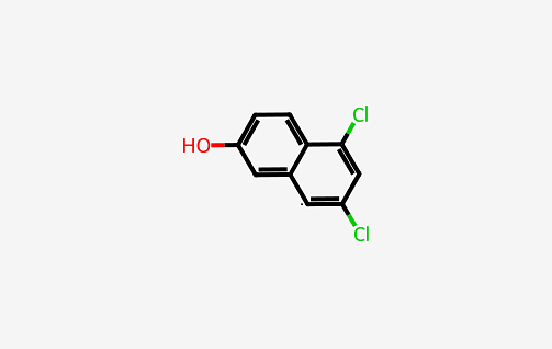 Oc1ccc2c(Cl)cc(Cl)[c]c2c1